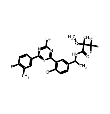 COC(C)(C(=O)NC(C)c1ccc(Cl)c(-c2nc(O)nc(-c3ccc(F)c(C)c3)n2)c1)C(F)(F)F